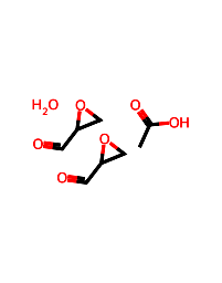 CC(=O)O.O.O=CC1CO1.O=CC1CO1